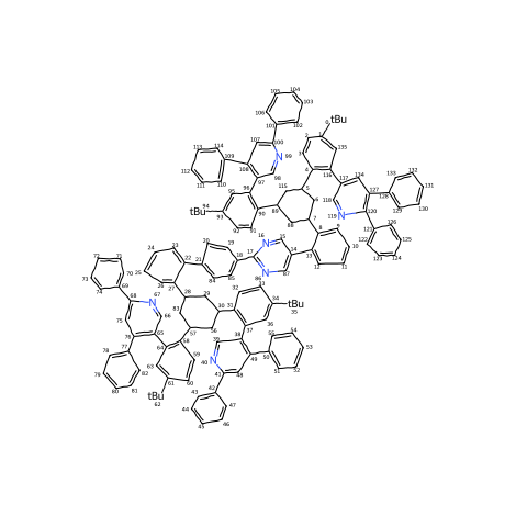 CC(C)(C)c1ccc(C2CC(c3ccccc3-c3cnc(-c4ccc(-c5ccccc5C5CC(c6ccc(C(C)(C)C)cc6-c6cnc(-c7ccccc7)cc6-c6ccccc6)CC(c6ccc(C(C)(C)C)cc6-c6cnc(-c7ccccc7)cc6-c6ccccc6)C5)cc4)nc3)CC(c3ccc(C(C)(C)C)cc3-c3cnc(-c4ccccc4)cc3-c3ccccc3)C2)c(-c2cnc(-c3ccccc3)c(-c3ccccc3)c2)c1